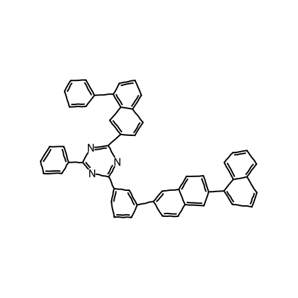 c1ccc(-c2nc(-c3cccc(-c4ccc5cc(-c6cccc7ccccc67)ccc5c4)c3)nc(-c3ccc4cccc(-c5ccccc5)c4c3)n2)cc1